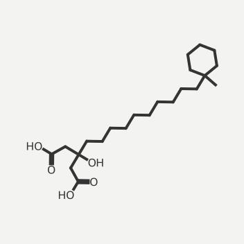 CC1(CCCCCCCCCCC(O)(CC(=O)O)CC(=O)O)CCCCC1